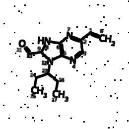 C=Cc1cnc2c(n1)NC(C=O)N2C(CC)CC